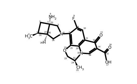 C[C@H]1C[C@@]2(N)CN(c3c(F)cc4c(=O)c(C(=O)O)cn5c4c3OC[C@@H]5C)C[C@@H]12